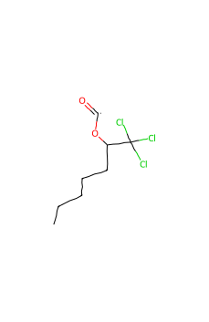 CCCCCC(O[C]=O)C(Cl)(Cl)Cl